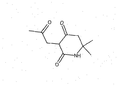 CC(=O)CC1C(=O)CC(C)(C)NC1=O